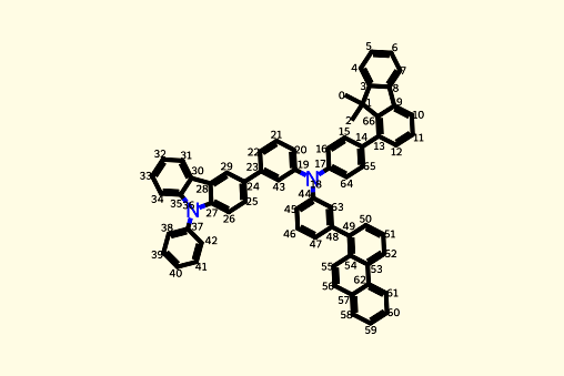 CC1(C)c2ccccc2-c2cccc(-c3ccc(N(c4cccc(-c5ccc6c(c5)c5ccccc5n6-c5ccccc5)c4)c4cccc(-c5cccc6c5ccc5ccccc56)c4)cc3)c21